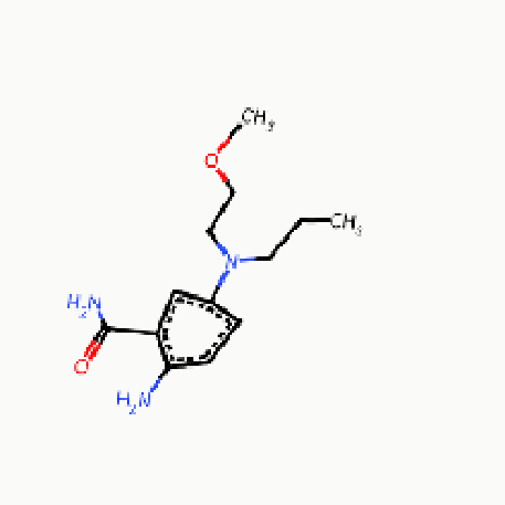 CCCN(CCOC)c1ccc(N)c(C(N)=O)c1